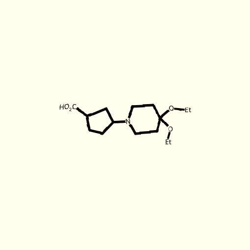 CCOC1(OCC)CCN(C2CCC(C(=O)O)C2)CC1